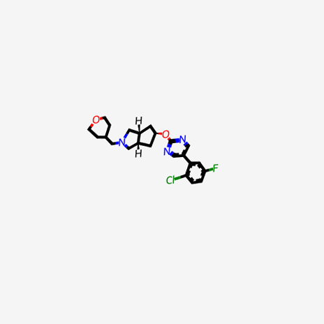 Fc1ccc(Cl)c(-c2cnc(O[C@H]3C[C@@H]4CN(CC5CCOCC5)C[C@@H]4C3)nc2)c1